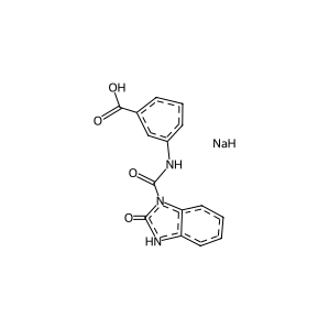 O=C(O)c1cccc(NC(=O)n2c(=O)[nH]c3ccccc32)c1.[NaH]